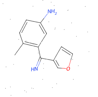 Cc1ccc(N)cc1C(=N)c1ccoc1